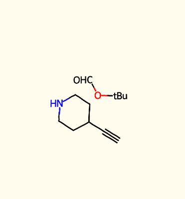 C#CC1CCNCC1.CC(C)(C)OC=O